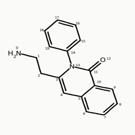 NCCc1cc2ccccc2c(=O)n1-c1ccccc1